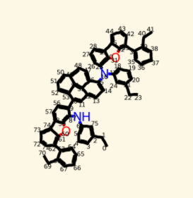 CCc1cccc(Nc2c(-c3cc4ccc(N(c5cccc(CC)c5)c5cccc6c5oc5c(-c7ccccc7CC)cccc56)c5ccc6cccc3c6c45)ccc3c2oc2c(-c4ccccc4CC)cccc23)c1